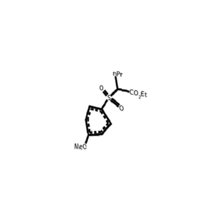 CCCC(C(=O)OCC)S(=O)(=O)c1ccc(OC)cc1